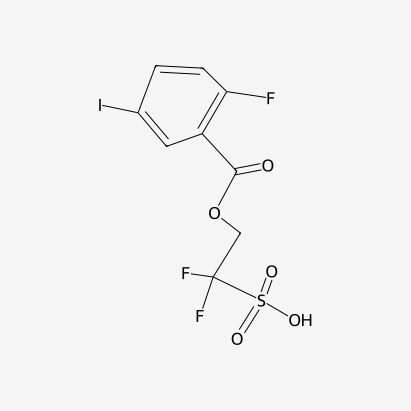 O=C(OCC(F)(F)S(=O)(=O)O)c1cc(I)ccc1F